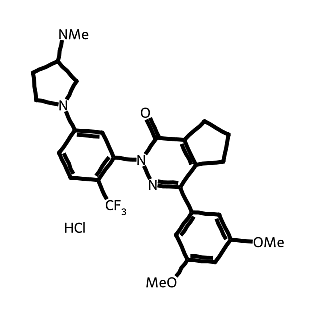 CNC1CCN(c2ccc(C(F)(F)F)c(-n3nc(-c4cc(OC)cc(OC)c4)c4c(c3=O)CCC4)c2)C1.Cl